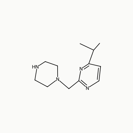 CC(C)c1ccnc(CN2CCNCC2)n1